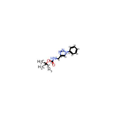 CC(C)(C)OC(=O)NCc1cn(-c2ccccc2)nn1